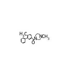 Cc1ccc(C(=O)N2CCCN(C)CC2)cc1-c1ccccc1